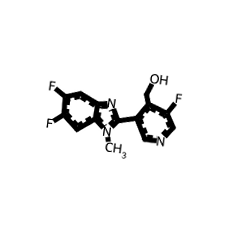 Cn1c(-c2cncc(F)c2CO)nc2cc(F)c(F)cc21